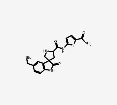 CC(C)(C)Cc1ccc2c(c1)C1(CNC(C(=O)Nc3ccc(C(N)=O)s3)C1)C(=O)N2